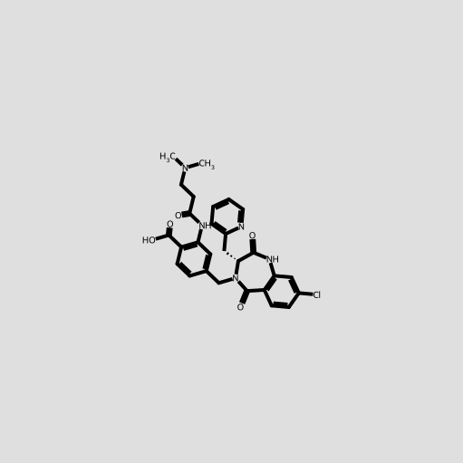 CN(C)CCC(=O)Nc1cc(CN2C(=O)c3ccc(Cl)cc3NC(=O)[C@H]2Cc2ccccn2)ccc1C(=O)O